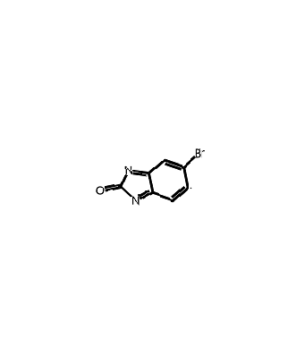 O=C1N=c2c[c]c(Br)cc2=N1